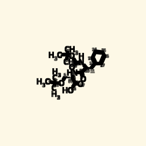 CC(C)(C)OC[C@H](NC(=O)[C@@H](Cc1ccccc1)NC(=O)OC(C)(C)C)C(=O)O